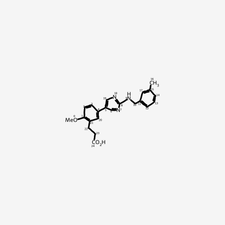 COc1ccc(-c2cnc(NCc3cccc(C)c3)nc2)cc1CCC(=O)O